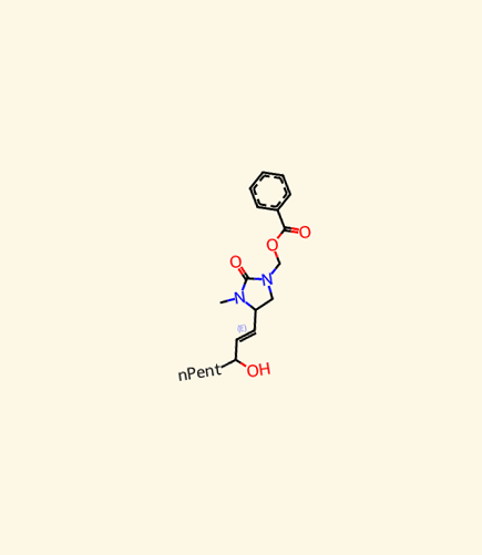 CCCCCC(O)/C=C/C1CN(COC(=O)c2ccccc2)C(=O)N1C